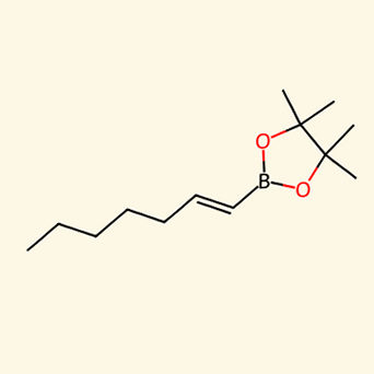 CCCCC/C=C/B1OC(C)(C)C(C)(C)O1